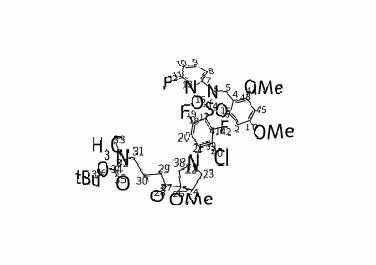 COc1ccc(CN(c2cccc(F)n2)S(=O)(=O)c2c(F)cc(N3CC[C@@](OC)(C(=O)CCCN(C)C(=O)OC(C)(C)C)C3)c(Cl)c2F)c(OC)c1